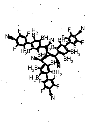 Bc1c(B)c(-c2c(F)c(F)c(C#N)c(F)c2F)c(B)c(B)c1C(C#N)=C1C(=C(C#N)c2c(B)c(B)c(-c3c(F)c(F)c(C#N)c(F)c3F)c(B)c2B)C1=C(C#N)c1c(B)c(B)c(-c2c(F)c(F)c(C#N)c(F)c2F)c(B)c1B